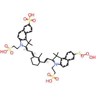 CC1=C(/C=C/C2=[N+](CCS(=O)(=O)O)c3ccc4cc(SOOO)ccc4c3C2(C)C)CCC/C1=C\C=C1\N(CCS(=O)(=O)O)c2ccc3cc(S(=O)(=O)O)ccc3c2C1(C)C